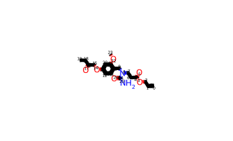 C=CCOC(=O)CCN(Cc1ccc(OCC(=O)CC)cc1OC)C(N)=O